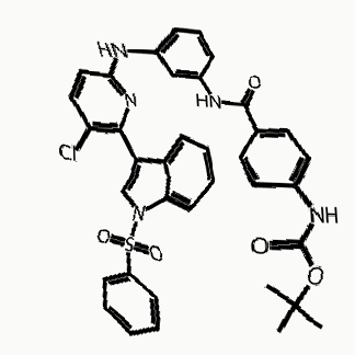 CC(C)(C)OC(=O)Nc1ccc(C(=O)Nc2cccc(Nc3ccc(Cl)c(-c4cn(S(=O)(=O)c5ccccc5)c5ccccc45)n3)c2)cc1